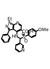 CCn1nc(-c2ccccc2)c2c(NC(c3cccnc3)S(=O)(=O)c3ccc(OC)cc3)c(C(=O)O)cnc21